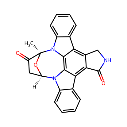 C[C@]12O[C@H](CC1=O)n1c3ccccc3c3c4c(c5c6ccccc6n2c5c31)CNC4=O